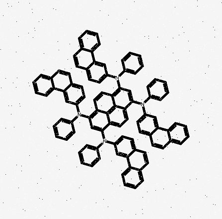 c1ccc(N(c2ccc3ccc4ccccc4c3c2)c2cc(N(c3ccccc3)c3ccc4ccc5ccccc5c4c3)c3ccc4c(N(c5ccccc5)c5ccc6ccc7ccccc7c6c5)cc(N(c5ccccc5)c5ccc6ccc7ccccc7c6c5)c5ccc2c3c54)cc1